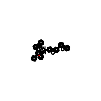 c1ccc(-c2cccc(-c3cccc4c5ccccc5n(-c5nc(-c6ccccc6)nc(-c6ccc7c(c6)oc6ccc(-c8cccc9c8oc8ccccc89)cc67)n5)c34)c2)cc1